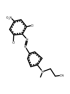 CN(CCC#N)c1ccc(N=Nc2c(Cl)cc([N+](=O)[O-])cc2Cl)cc1